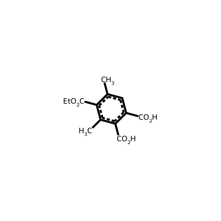 CCOC(=O)c1c(C)cc(C(=O)O)c(C(=O)O)c1C